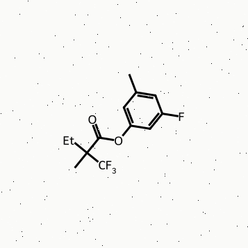 CCC(C)(C(=O)Oc1cc(C)cc(F)c1)C(F)(F)F